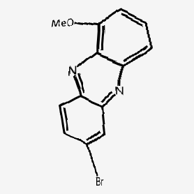 COc1cccc2nc3cc(Br)ccc3nc12